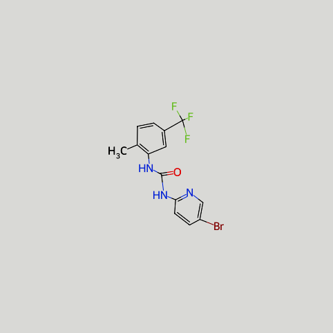 Cc1ccc(C(F)(F)F)cc1NC(=O)Nc1ccc(Br)cn1